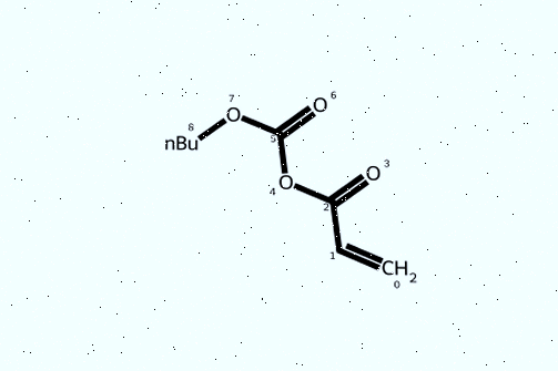 C=CC(=O)OC(=O)OCCCC